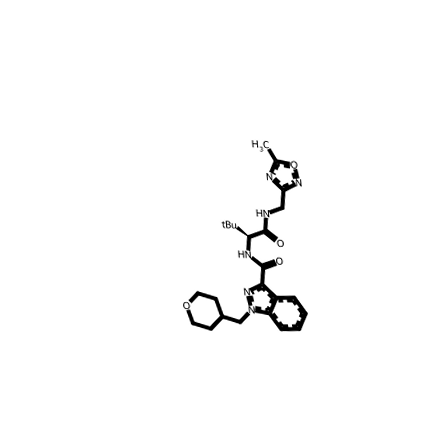 Cc1nc(CNC(=O)[C@@H](NC(=O)c2nn(CC3CCOCC3)c3ccccc23)C(C)(C)C)no1